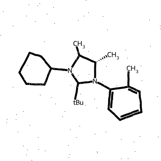 Cc1ccccc1N1C(C(C)(C)C)N(C2CCCCC2)C(C)[C@@H]1C